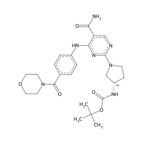 CC(C)(C)OC(=O)N[C@H]1CCN(c2ncc(C(N)=O)c(Nc3ccc(C(=O)N4CCOCC4)cc3)n2)C1